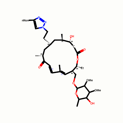 CCCCCCCCCc1cn(CC[C@H]2C[C@@H](C)C(=O)/C=C/C(C)=C/[C@H](COC3OC(C)C(O)C(OC)C3OC)[C@@H](CC)OC(=O)C[C@@H](O)[C@H](C)C2)nn1